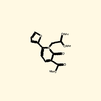 COC(=O)c1ccc(-c2ccco2)n(CC(OC)OC)c1=O